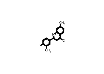 Cc1ccc2c(Cl)cc(-c3ccc(F)c(C)c3)nc2c1